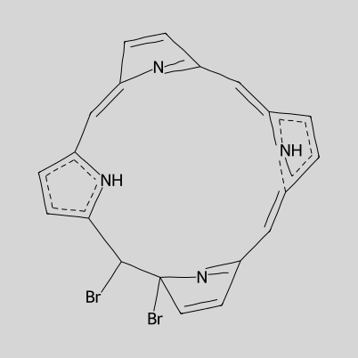 BrC1c2ccc([nH]2)C=C2C=CC(=N2)C=c2ccc([nH]2)=CC2=NC1(Br)C=C2